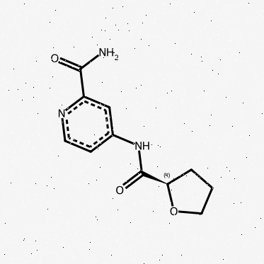 NC(=O)c1cc(NC(=O)[C@H]2CCCO2)ccn1